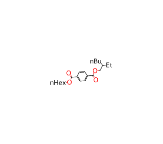 CCCCCCOC(=O)c1ccc(C(=O)OCC(CC)CCCC)cc1